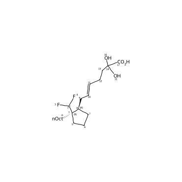 CCCCCCCC[C@@]1([C](F)F)CCC[C@@H]1CC=CCCC(O)(O)C(=O)O